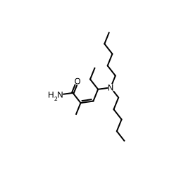 CCCCCN(CCCCC)C(C=C(C)C(N)=O)CC